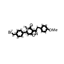 COc1ccc(Cc2noc3cc(-c4ccc(CBr)cc4)n(C)c(=O)c23)cc1